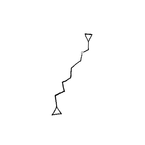 C(CCCC1CC1)CCOCC1CC1